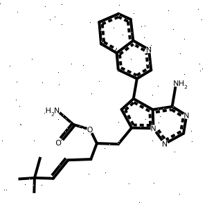 CC(C)(C)C=CCC(Cc1cc(-c2cnc3ccccc3c2)c2c(N)ncnn12)OC(N)=O